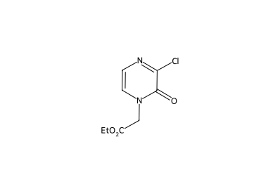 CCOC(=O)Cn1ccnc(Cl)c1=O